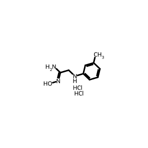 Cc1cccc(NCC(N)=NO)c1.Cl.Cl